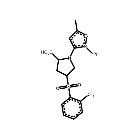 Cc1cc(N2CC(S(=O)(=O)c3ccccc3C(F)(F)F)CC2C(=O)O)n(C(C)C)n1